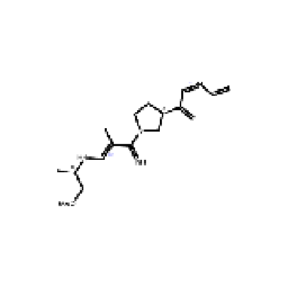 C=C/N=C\C(=C)[C@@H]1CCN(C(=N)/C(C)=C/N[C@H](C)COC)C1